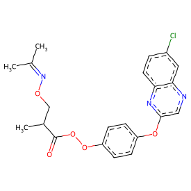 CC(C)=NOCC(C)C(=O)OOc1ccc(Oc2cnc3cc(Cl)ccc3n2)cc1